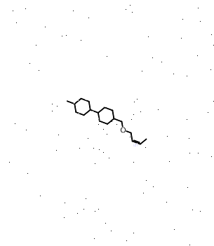 C/C=C\COCC1CCC(C2CCC(C)CC2)CC1